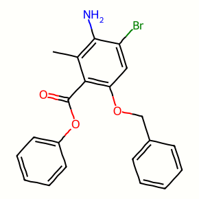 Cc1c(N)c(Br)cc(OCc2ccccc2)c1C(=O)Oc1ccccc1